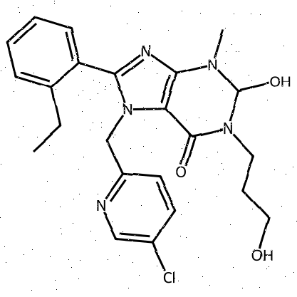 CCc1ccccc1-c1nc2c(n1Cc1ccc(Cl)cn1)C(=O)N(CCCO)C(O)N2C